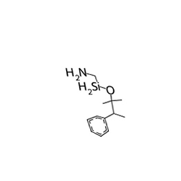 CC(c1ccccc1)C(C)(C)O[SiH2]CN